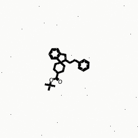 CC(C)(C)OC(=O)C1CCC2(CC1)c1ccccc1CC2CCc1ccccc1